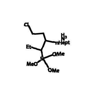 CCCCCCCC(CCCl)C(CC)[Si](OC)(OC)OC.N